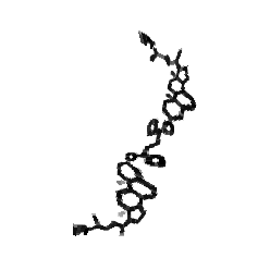 CC(C)C(C)/C=C/C(C)C1CCC2C3=CC=C4C[C@@H](OC(=O)CCC(=O)O[C@H]5CC[C@@]6(C)C(=CC=C7C8CCC(C(C)/C=C/C(C)C(C)C)[C@@]8(C)CCC76)C5)CC[C@]4(C)C3CC[C@@]21C